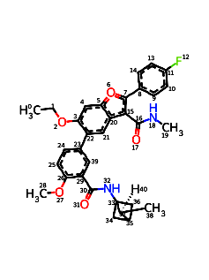 CCOc1cc2oc(-c3ccc(F)cc3)c(C(=O)NC)c2cc1-c1ccc(OC)c(C(=O)NC23CC(C2)[C@@H]3C)c1